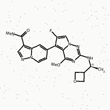 CNC(=O)c1cnn2ccc(-c3c(F)cn4nc(N[C@@H](C)C5COC5)nc(OC)c34)cc12